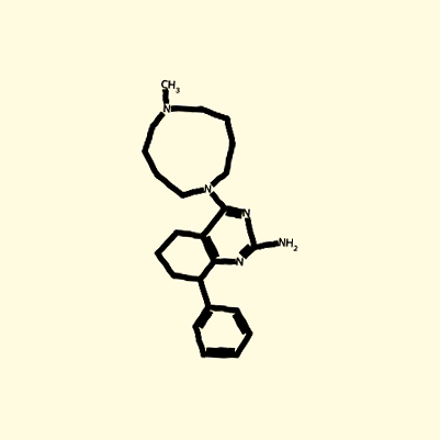 CN1CCCCN(c2nc(N)nc3c2CCCC3c2ccccc2)CCCC1